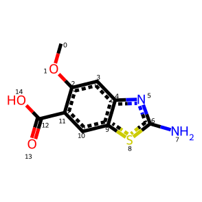 COc1cc2nc(N)sc2cc1C(=O)O